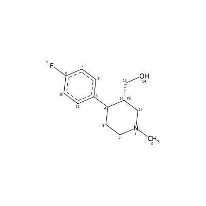 CN1CCC(c2ccc(F)cc2)[C@H](CO)C1